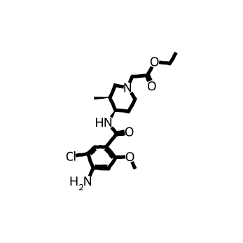 CCOC(=O)CN1CC[C@@H](NC(=O)c2cc(Cl)c(N)cc2OC)[C@@H](C)C1